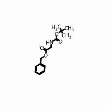 CC(C)(C)OC(=O)NCC(=O)OCc1ccccc1